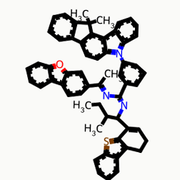 CCC(C)C(/N=C(\N=C(/C)c1ccc2c(c1)oc1ccccc12)c1cccc(-n2c3ccccc3c3c4c(ccc32)-c2ccccc2C4(C)C)c1)C1=CCCc2c1sc1ccccc21